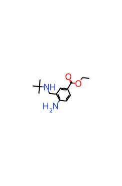 CCOC(=O)c1ccc(N)c(CNC(C)(C)C)c1